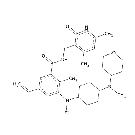 C=Cc1cc(C(=O)NCc2c(C)cc(C)[nH]c2=O)c(C)c(N(CC)C2CCC(N(C)C3CCOCC3)CC2)c1